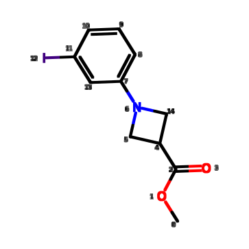 COC(=O)C1CN(c2cccc(I)c2)C1